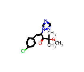 COC(C)(C)C(=O)/C(=C\c1ccc(Cl)cc1)n1cncn1